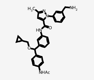 CC(=O)Nc1ccc(C(OCC2CC2)c2cccc(NC(=O)c3cc(C)nn3-c3cccc(CN)c3)c2)cc1